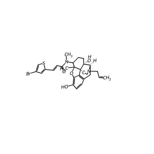 C=CCN1CC[C@]23c4c5ccc(O)c4OC2(C)C(N(C)C(=O)/C=C/c2cc(Br)cs2)CC[C@@]3(O)[C@H]1C5